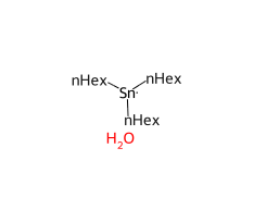 CCCCC[CH2][Sn]([CH2]CCCCC)[CH2]CCCCC.O